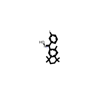 Cc1cc2c(cc1/C(=N/O)c1cccc(I)c1)C(C)(C)CCC2(C)C